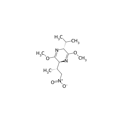 COC1=N[C@H](C(C)C)C(OC)=N[C@H]1[C@@H](C)C[N+](=O)[O-]